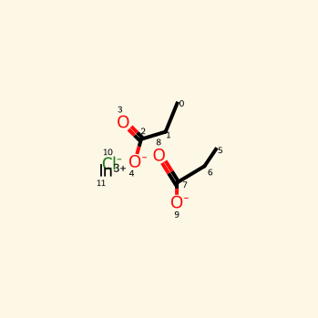 CCC(=O)[O-].CCC(=O)[O-].[Cl-].[In+3]